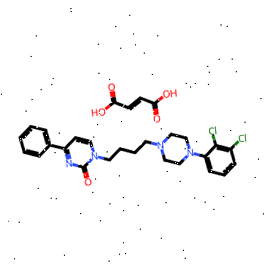 O=C(O)C=CC(=O)O.O=c1nc(-c2ccccc2)ccn1CCCCN1CCN(c2cccc(Cl)c2Cl)CC1